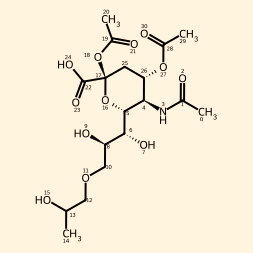 CC(=O)N[C@H]1[C@H]([C@H](O)[C@H](O)COCC(C)O)O[C@](OC(C)=O)(C(=O)O)C[C@@H]1OC(C)=O